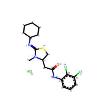 CN1/C(=N/C2CCCCC2)SCC1CC(=O)Nc1cccc(Cl)c1Cl.Cl